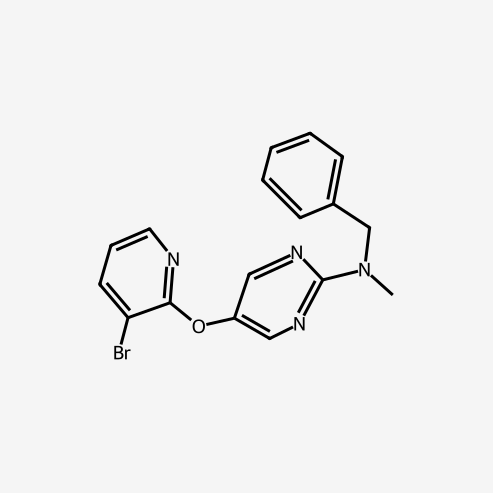 CN(Cc1ccccc1)c1ncc(Oc2ncccc2Br)cn1